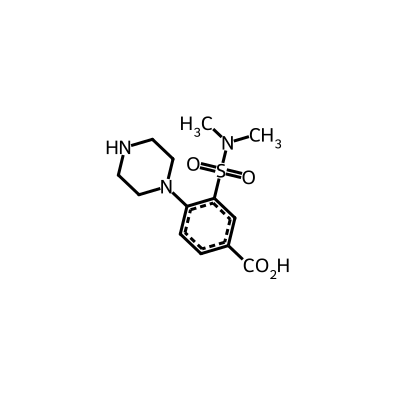 CN(C)S(=O)(=O)c1cc(C(=O)O)ccc1N1CCNCC1